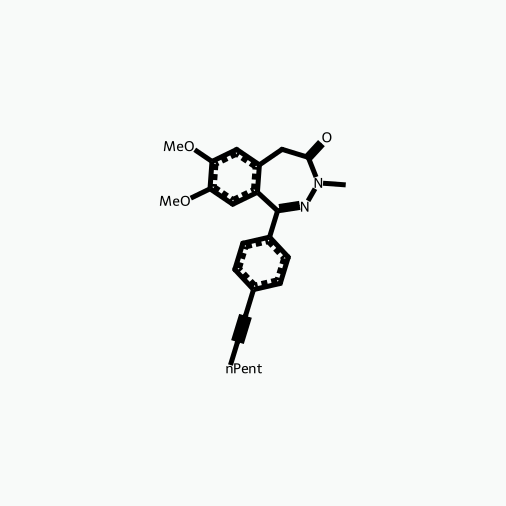 CCCCCC#Cc1ccc(C2=NN(C)C(=O)Cc3cc(OC)c(OC)cc32)cc1